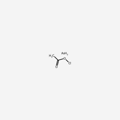 CC(=O)OCl.[AsH3]